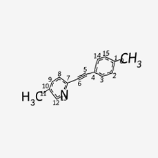 Cc1ccc(C#Cc2ccc(C)cn2)cc1